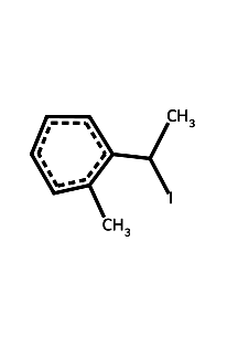 Cc1ccccc1C(C)I